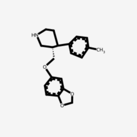 Cc1ccc(C2CCNC[C@H]2COc2ccc3c(c2)OCO3)cc1